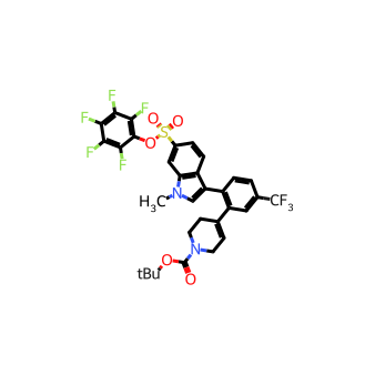 Cn1cc(-c2ccc(C(F)(F)F)cc2C2=CCN(C(=O)OC(C)(C)C)CC2)c2ccc(S(=O)(=O)Oc3c(F)c(F)c(F)c(F)c3F)cc21